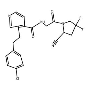 N#CC1CC(F)(F)CN1C(=O)CNC(=O)c1ccncc1CCc1ccc(Cl)cc1